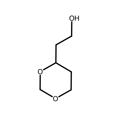 OCCC1CCOCO1